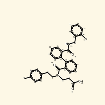 Cc1ccc(CCN(CCC(=O)O)C(=O)c2ccccc2-c2ccccc2C(=O)NCc2ccccc2F)cc1